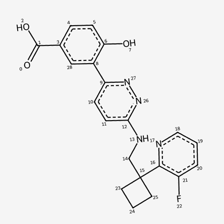 O=C(O)c1ccc(O)c(-c2ccc(NCC3(c4ncccc4F)CCC3)nn2)c1